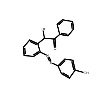 O=C(c1ccccc1)C(O)c1ccccc1N=Nc1ccc(O)cc1